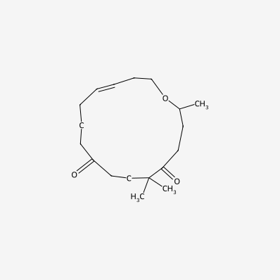 CC1CCC(=O)C(C)(C)CCC(=O)CCCC=CCCO1